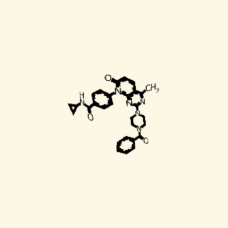 Cc1nc(N2CCN(C(=O)c3ccccc3)CC2)nc2c1ccc(=O)n2-c1ccc(C(=O)NC2CC2)cc1